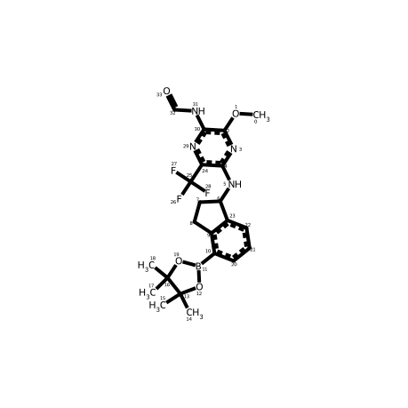 COc1nc(NC2CCc3c(B4OC(C)(C)C(C)(C)O4)cccc32)c(C(F)(F)F)nc1NC=O